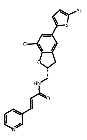 CC(=O)c1ccc(-c2cc(Cl)c3c(c2)C[C@H](CNC(=O)C=Cc2cccnc2)O3)s1